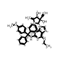 C#C[C@@]1(O)[C@H](O)C(=C)O[C@H]1n1cnc2c(OCC)nc(NC(c3ccccc3)(c3ccccc3)c3ccc(OC)cc3)nc21